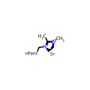 CCCCCC[n+]1ccn(C)c1C.[Br-]